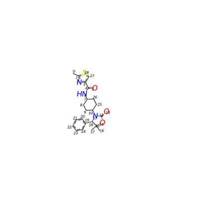 Cc1nc(C(=O)NC2CCC(N3C(=O)OC(C)(C)C3c3ccccc3)CC2)cs1